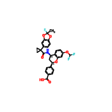 CC1(F)Oc2ccc(C3(C(=O)N[C@@H]4C[C@H](c5ccc(C(=O)O)cc5)Oc5cc(OC(F)F)ccc54)CC3)cc2O1